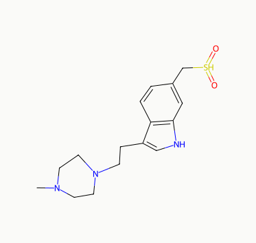 CN1CCN(CCc2c[nH]c3cc(C[SH](=O)=O)ccc23)CC1